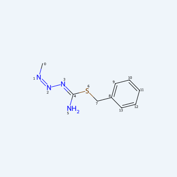 C/N=N\N=C(/N)SCc1ccccc1